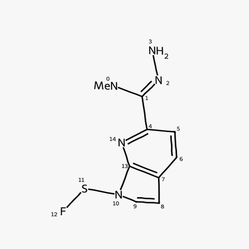 CN/C(=N\N)c1ccc2ccn(SF)c2n1